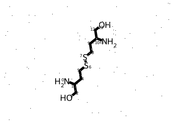 NC(CO)CCSSCCC(N)CO